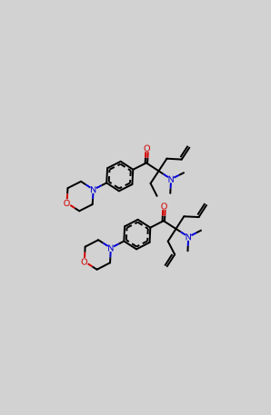 C=CCC(CC)(C(=O)c1ccc(N2CCOCC2)cc1)N(C)C.C=CCC(CC=C)(C(=O)c1ccc(N2CCOCC2)cc1)N(C)C